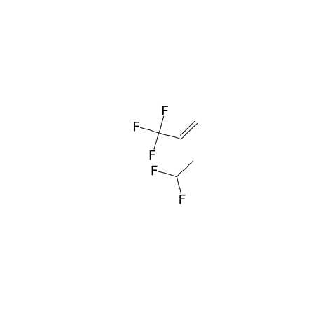 C=CC(F)(F)F.CC(F)F